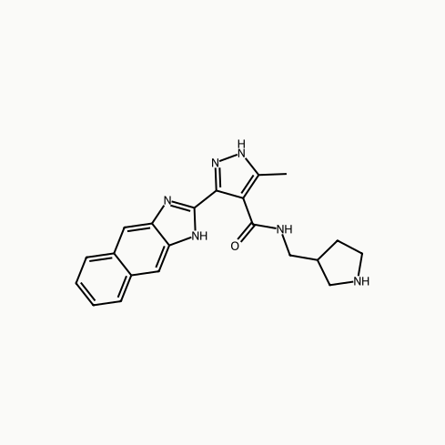 Cc1[nH]nc(-c2nc3cc4ccccc4cc3[nH]2)c1C(=O)NCC1CCNC1